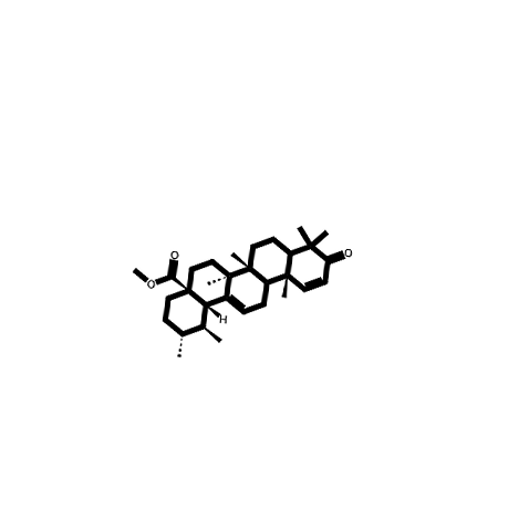 COC(=O)[C@]12CC[C@@H](C)[C@H](C)[C@H]1C1=CCC3[C@@]4(C)C=CC(=O)C(C)(C)C4CC[C@@]3(C)[C@]1(C)CC2